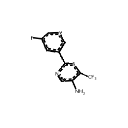 Nc1cnc(-c2cncc(F)c2)nc1C(F)(F)F